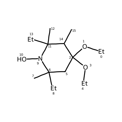 CCOC1(OCC)CC(C)(CC)N(O)C(C)(CC)C1C